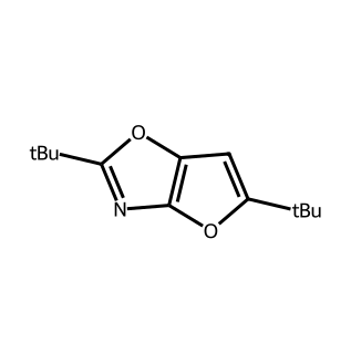 CC(C)(C)c1cc2oc(C(C)(C)C)nc2o1